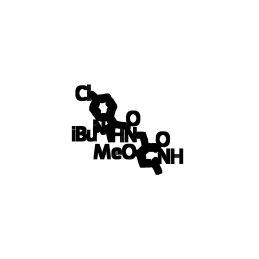 CCC(C)n1c(C)c(C(=O)NCc2c(OC)cc(C)[nH]c2=O)c2ccc(Cl)cc21